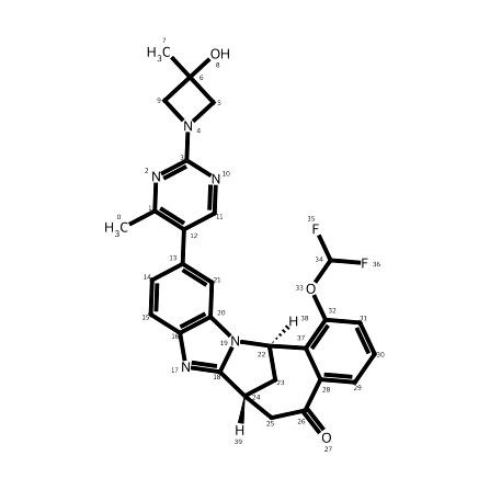 Cc1nc(N2CC(C)(O)C2)ncc1-c1ccc2nc3n(c2c1)[C@@H]1C[C@@H]3CC(=O)c2cccc(OC(F)F)c21